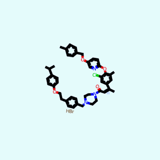 Br.C/C(=C/C(=O)N1CCN(Cc2ccc(CCOc3ccc(C(C)C)cc3)cc2)CC1)c1cc(C)c(Oc2ccc(OCc3ccc(C)cc3)cn2)c(Cl)c1